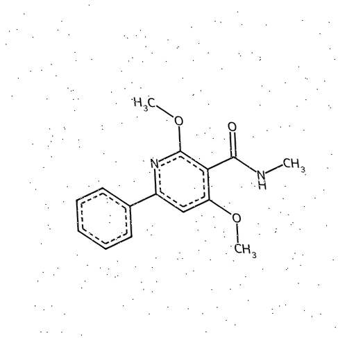 CNC(=O)c1c(OC)cc(-c2ccccc2)nc1OC